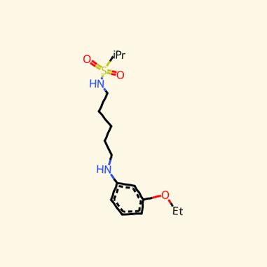 CCOc1cccc(NCCCCCNS(=O)(=O)C(C)C)c1